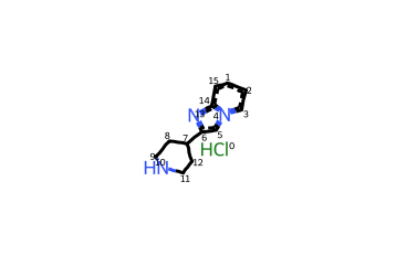 Cl.c1ccn2cc(C3CCNCC3)nc2c1